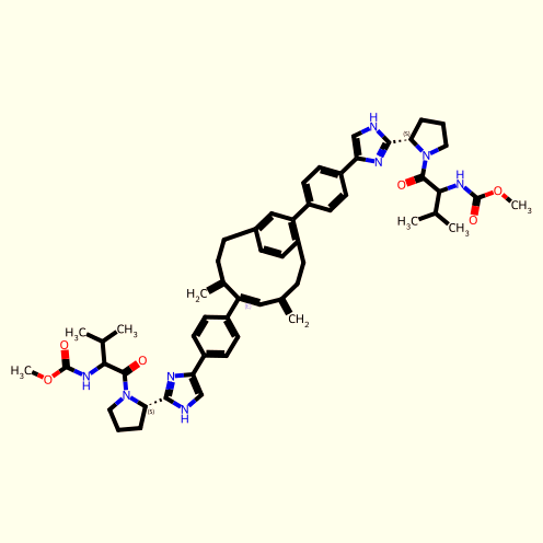 C=C1/C=C(/c2ccc(-c3c[nH]c([C@@H]4CCCN4C(=O)C(NC(=O)OC)C(C)C)n3)cc2)C(=C)CCc2ccc(c(-c3ccc(-c4c[nH]c([C@@H]5CCCN5C(=O)C(NC(=O)OC)C(C)C)n4)cc3)c2)CC1